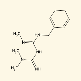 C/N=C(\NCC1=CCCC=C1)NC(=N)N(C)C